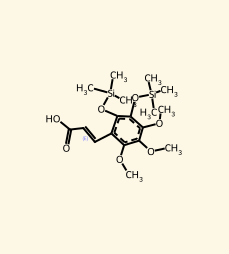 COc1c(/C=C/C(=O)O)c(O[Si](C)(C)C)c(O[Si](C)(C)C)c(OC)c1OC